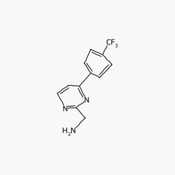 NCc1nccc(-c2ccc(C(F)(F)F)cc2)n1